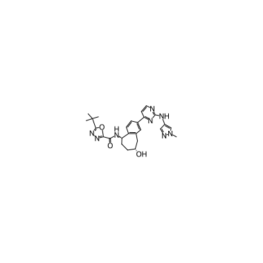 Cn1cc(Nc2nccc(-c3ccc4c(c3)C[C@H](O)CC[C@H]4NC(=O)c3nnc(C(C)(C)C)o3)n2)cn1